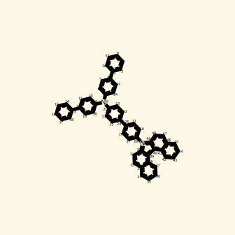 c1ccc(-c2ccc(N(c3ccc(-c4ccccc4)cc3)c3ccc(-c4ccc(-n5c6ccc7ccccc7c6c6c7ccccc7ccc65)cc4)cc3)cc2)cc1